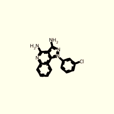 Nc1nc2ccccc2c2c1c(N)nn2-c1cccc(Cl)c1